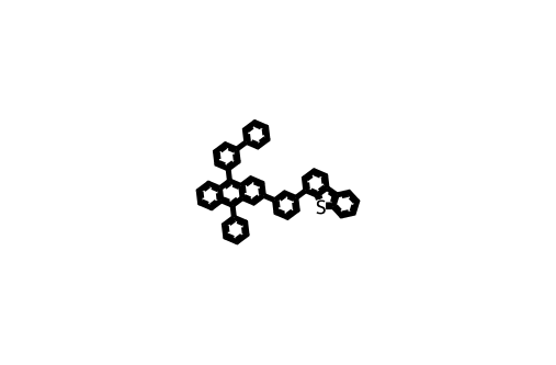 c1ccc(-c2cccc(-c3c4ccccc4c(-c4ccccc4)c4cc(-c5cccc(-c6cccc7c6sc6ccccc67)c5)ccc34)c2)cc1